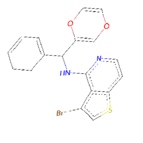 Brc1csc2ccnc(NC(C3=CC=CCC3)C3=COC=CO3)c12